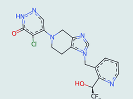 O=c1[nH]ncc(N2CCc3c(ncn3Cc3cccnc3[C@H](O)C(F)(F)F)C2)c1Cl